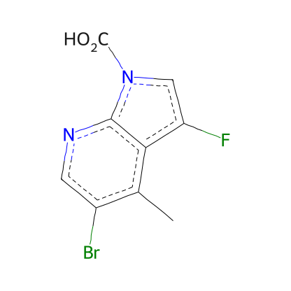 Cc1c(Br)cnc2c1c(F)cn2C(=O)O